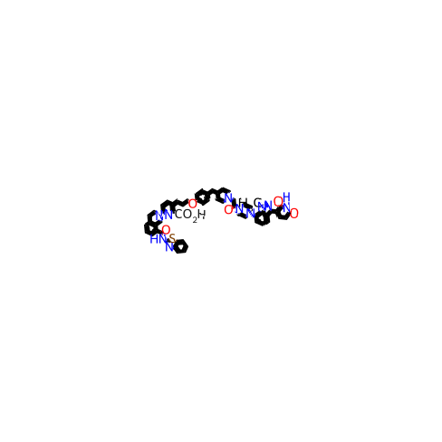 Cn1nc(C2CCC(=O)NC2=O)c2cccc(N3CCN(C(=O)CN4CCC(Cc5ccc(OCCCc6ccc(N7CCc8cccc(C(=O)Nc9nc%10ccccc%10s9)c8C7)nc6C(=O)O)cc5)CC4)CC3)c21